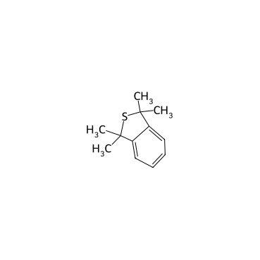 CC1(C)SC(C)(C)c2ccccc21